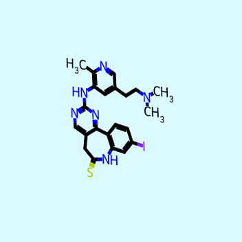 Cc1ncc(CCN(C)C)cc1Nc1ncc2c(n1)-c1ccc(I)cc1NC(=S)C2